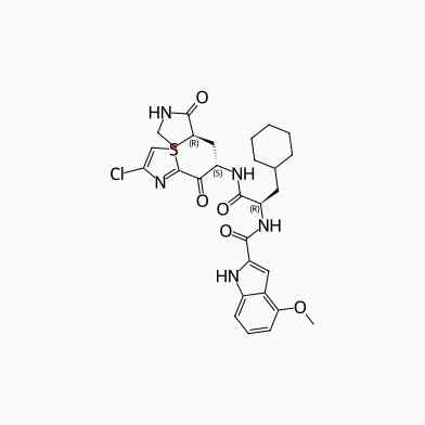 COc1cccc2[nH]c(C(=O)N[C@H](CC3CCCCC3)C(=O)N[C@@H](C[C@H]3CCNC3=O)C(=O)c3nc(Cl)cs3)cc12